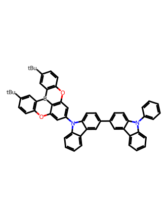 CC(C)(C)c1ccc2c(c1)B1c3cc(C(C)(C)C)ccc3Oc3cc(-n4c5ccccc5c5cc(-c6ccc7c(c6)c6ccccc6n7-c6ccccc6)ccc54)cc(c31)O2